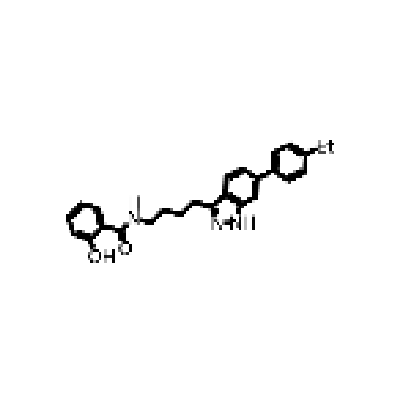 CCc1ccc(-c2ccc3c(CCCCNC(=O)c4ccccc4O)n[nH]c3c2)cc1